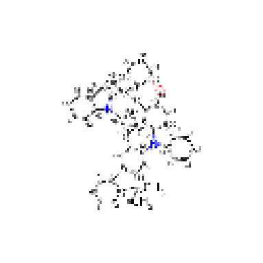 CC1(C)c2ccccc2-c2ccc(-n3c4ccccc4c4cc5c(cc43)C3(c4ccccc4O5)c4ccccc4-n4c5ccccc5c5cccc3c54)cc21